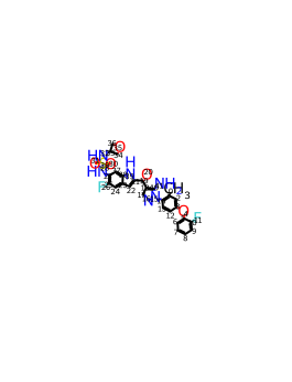 Cc1cc(Oc2ccccc2F)ccc1-n1ncc(C(=O)c2cc3cc(F)c(NS(=O)(=O)NC4COC4)cc3[nH]2)c1N